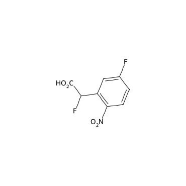 O=C(O)C(F)c1cc(F)ccc1[N+](=O)[O-]